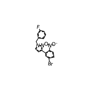 O=[N+]([O-])c1ccc(Br)cc1-c1ccn(Cc2cccc(F)c2)n1